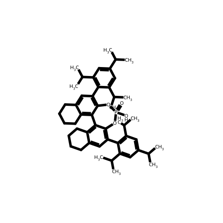 CC(C)c1cc(C(C)C)c(-c2cc3c(c4c2OP(=O)(O)Oc2c(-c5c(C(C)C)cc(C(C)C)cc5C(C)C)cc5c(c2-4)CCCC5)CCCC3)c(C(C)C)c1